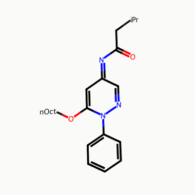 CCCCCCCCOc1c/c(=N/C(=O)CC(C)C)cnn1-c1ccccc1